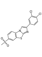 CS(=O)(=O)c1ccc2c(c1)sc1nc(-c3ccc(Cl)c(Cl)c3)cn12